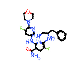 NCC(Cc1ccccc1)Nc1nc(Nc2cnc(N3CCOCC3)c(F)c2)c(C(N)=O)cc1F